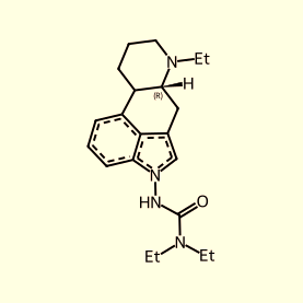 CCN(CC)C(=O)Nn1cc2c3c(cccc31)C1CCCN(CC)[C@@H]1C2